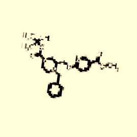 COC(=O)c1ccc(OC[C@@H]2CN(C(=O)OC(C)(C)C)CCN2Cc2ccccc2)nc1